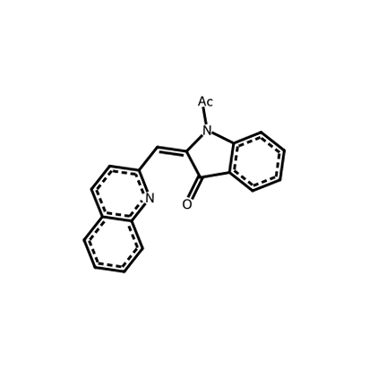 CC(=O)N1C(=Cc2ccc3ccccc3n2)C(=O)c2ccccc21